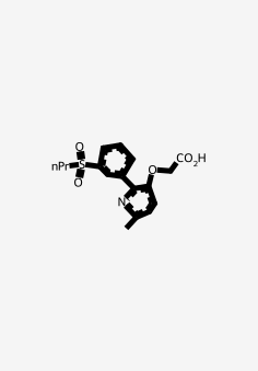 CCCS(=O)(=O)c1cccc(-c2nc(C)ccc2OCC(=O)O)c1